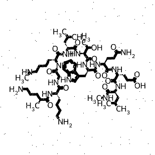 CNCCCC[C@H](NC(=O)CNC(=O)[C@H](CCCCN)NC(=O)[C@@H](C)CCCN)C(=O)N[C@H](CC(C)C)C(=O)N[C@H](C(=O)N[C@H](Cc1c[nH]c2ccccc12)C(=O)N[C@@H](CCC(N)=O)C(=O)N[C@H](CCC(=O)O)C(=O)N[C@@H](CC(C)C)C(=O)NC)C(C)O